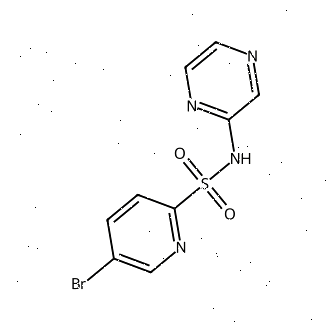 O=S(=O)(Nc1cnccn1)c1ccc(Br)cn1